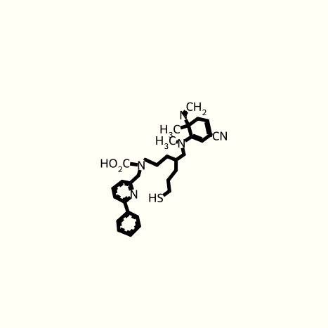 C=NC1(C)CC=C(C#N)C=C1N(C)CC(CCCS)CCCN(Cc1cccc(-c2ccccc2)n1)C(=O)O